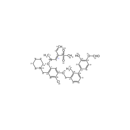 C=C/C(=C\N(C)Oc1cc(OCc2cccc(-c3ccc(OC=O)c(O)c3)c2C)c(Cl)cc1CN1CCCCC1)S(C)(=O)=O